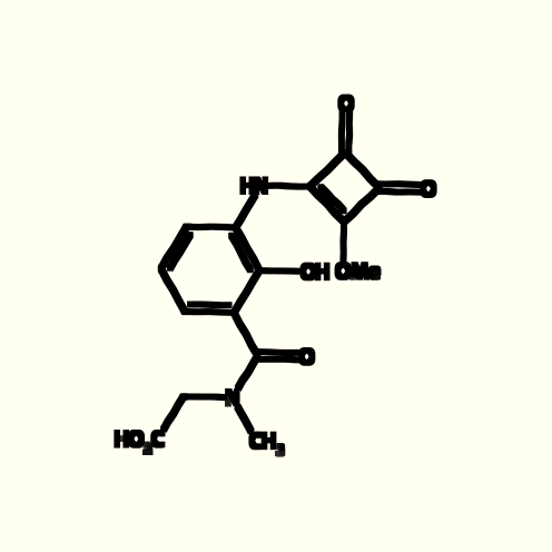 COc1c(Nc2cccc(C(=O)N(C)CC(=O)O)c2O)c(=O)c1=O